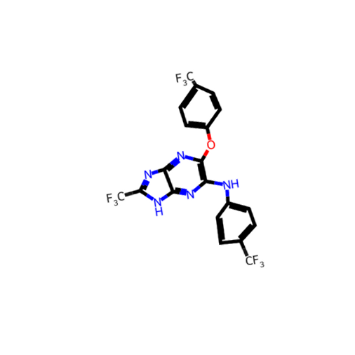 FC(F)(F)c1ccc(Nc2nc3[nH]c(C(F)(F)F)nc3nc2Oc2ccc(C(F)(F)F)cc2)cc1